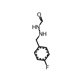 O=CNNCc1ccc(F)cc1